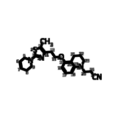 Cc1sc(N2CC=CCC2)nc1CCOc1cccc2c1CCCN2CCC#N